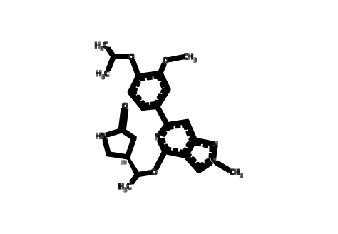 COc1cc(-c2cc3nn(C)cc3c(OC(C)[C@H]3CNC(=O)C3)n2)ccc1OC(C)C